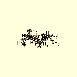 CC(C)C[C@H](NC(=O)CNC(=O)[C@H](CC(C)C)NC(=O)[C@H](CCC(N)=O)NC(=O)CNC(=O)[C@@H]1CC(F)CN1)C(=O)N[C@@H](C)C(=O)NCC(=O)N1CCC[C@H]1C(=O)N[C@@H](CCCCN)C(=O)O